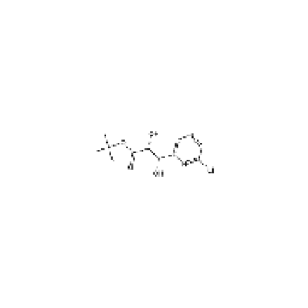 CC(C)(C)OC(=O)[C@H](O)[C@@H](O)c1cncc(Cl)n1